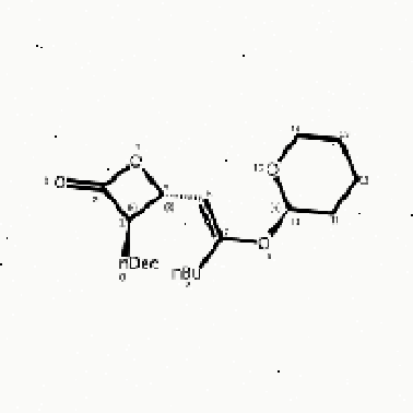 CCCCCCCCCC[C@H]1C(=O)O[C@@H]1C=C(CCCC)O[C@@H]1CCCCO1